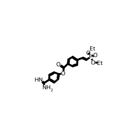 CCOP(=O)(C=Cc1ccc(C(=O)Oc2ccc(C(=N)N)cc2)cc1)OCC